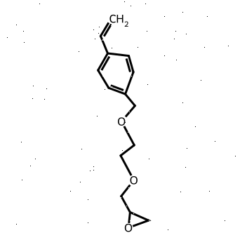 C=Cc1ccc(COCCOCC2CO2)cc1